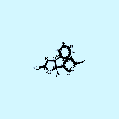 Cc1ccc([C@]2(C)OC(=O)C[C@H]2c2ccccc2)cc1